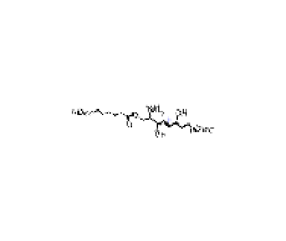 CCCCCCCCCCCCCCCC(=O)OCC(N)C(O)/C=C/C(O)CCCCCCCCCCCC